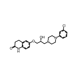 O=C1CCc2cc(OC[C@@H](O)CN3CCN(c4cccc(Cl)c4)CC3)ccc2N1